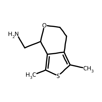 Cc1sc(C)c2c1CCOC2CN